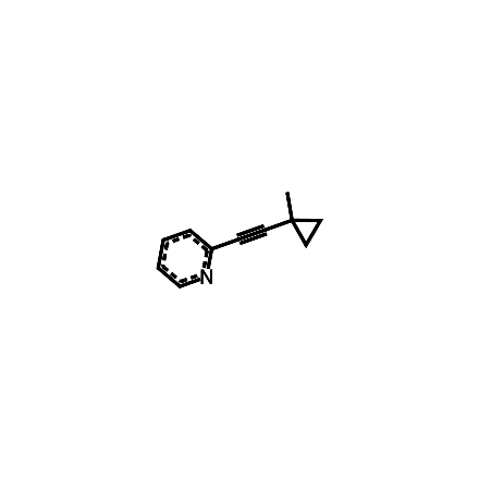 CC1(C#Cc2ccccn2)CC1